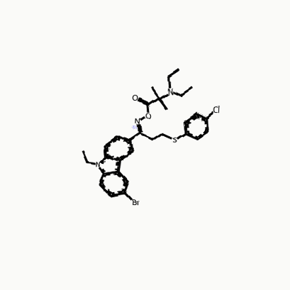 CCN(CC)C(C)(C)C(=O)O/N=C(\CCSc1ccc(Cl)cc1)c1ccc2c(c1)c1cc(Br)ccc1n2CC